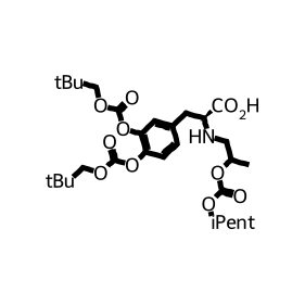 CCCC(C)OC(=O)OC(C)CN[C@@H](Cc1ccc(OC(=O)OCC(C)(C)C)c(OC(=O)OCC(C)(C)C)c1)C(=O)O